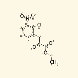 CCOC(=O)C(=O)Cc1cccc([N+](=O)[O-])c1Cl